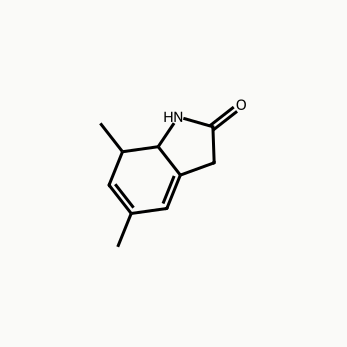 CC1=CC(C)C2NC(=O)CC2=C1